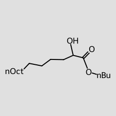 CCCCCCCCCCCCC(O)C(=O)OCCCC